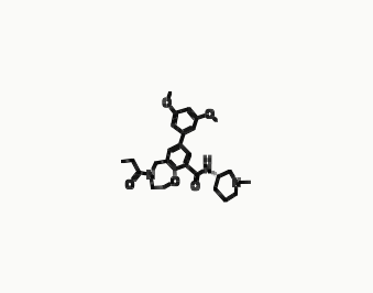 CCC(=O)N1CCOc2c(cc(-c3cc(OC)cc(OC)c3)cc2C(=O)N[C@H]2CCCN(C)C2)C1